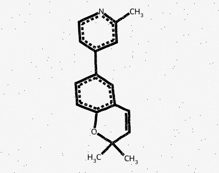 Cc1cc(-c2ccc3c(c2)C=CC(C)(C)O3)ccn1